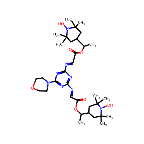 CC(OC(=O)C=Nc1nc(N=CC(=O)OC(C)C2CC(C)(C)N(O)C(C)(C)C2)nc(N2CCOCC2)n1)C1CC(C)(C)N(O)C(C)(C)C1